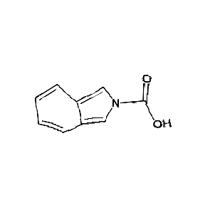 O=C(O)n1cc2ccccc2c1